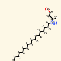 CCCCCCCCCCCCCCCCCCNC(C)=CC=O